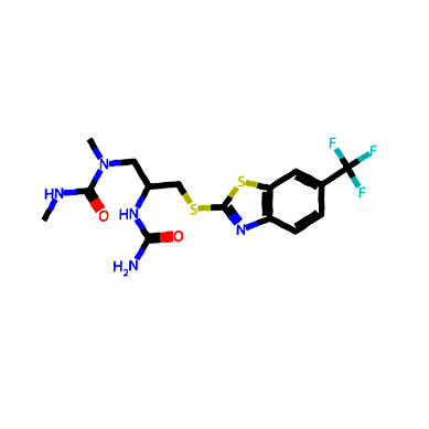 CNC(=O)N(C)CC(CSc1nc2ccc(C(F)(F)F)cc2s1)NC(N)=O